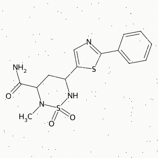 CN1C(C(N)=O)CC(c2cnc(-c3ccccc3)s2)NS1(=O)=O